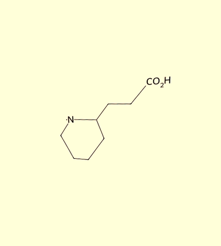 O=C(O)CCC1CCCC[N]1